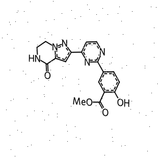 COC(=O)c1cc(-c2nccc(-c3cc4n(n3)CCNC4=O)n2)ccc1O